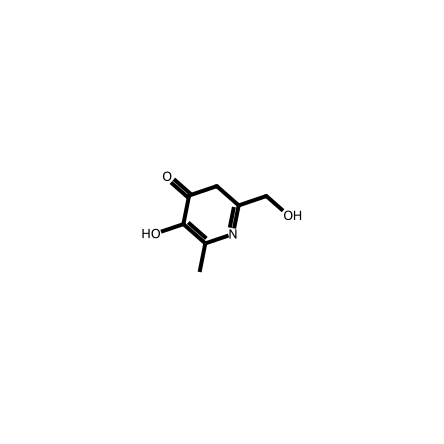 CC1=C(O)C(=O)CC(CO)=N1